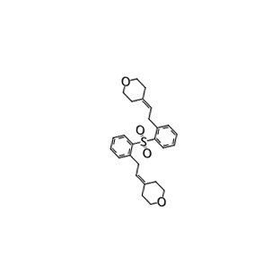 O=S(=O)(c1ccccc1CC=C1CCOCC1)c1ccccc1CC=C1CCOCC1